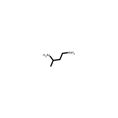 CC([AsH2])CC[AsH2]